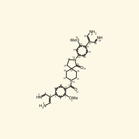 COc1cc(/C(C=N)=C/N)ccc1C(=O)N1CCC2(CC1)CCN(c1ccc(/C(C=N)=C/N)c(OC)c1)C2=O